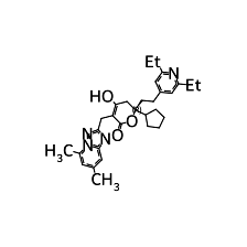 CCc1cc(CC[C@]2(C3CCCC3)CC(O)=C(Cc3nc4cc(C)cc(C)n4n3)C(=O)O2)cc(CC)n1